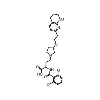 O=C(NC(CCN1CC[C@@H](OCCc2ccc3c(n2)NCCC3)C1)C(=O)O)c1c(Cl)cccc1Cl